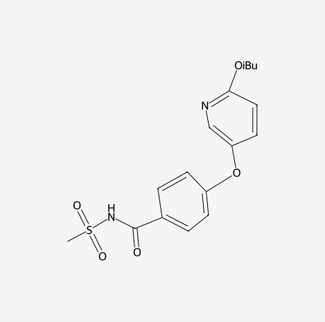 CC(C)COc1ccc(Oc2ccc(C(=O)NS(C)(=O)=O)cc2)cn1